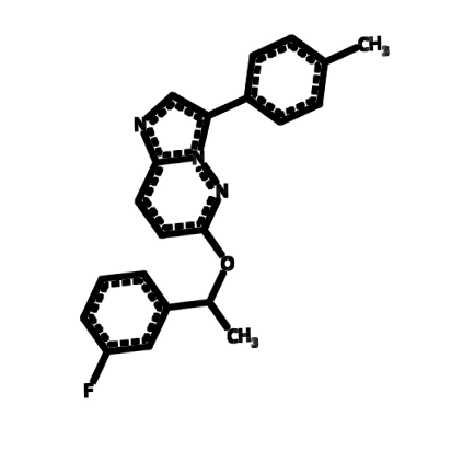 Cc1ccc(-c2cnc3ccc(OC(C)c4cccc(F)c4)nn23)cc1